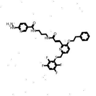 NNc1ccc(C(=O)NCCCNC(=O)C=Cc2nc(CSc3c(F)c(F)cc(F)c3F)ccc2OCCc2ccccc2)cn1